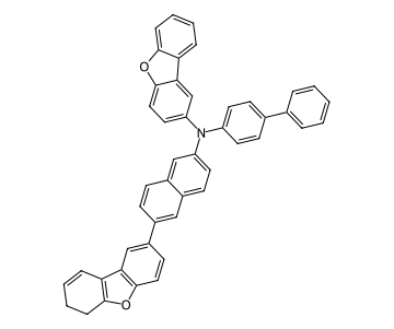 C1=Cc2c(oc3ccc(-c4ccc5cc(N(c6ccc(-c7ccccc7)cc6)c6ccc7oc8ccccc8c7c6)ccc5c4)cc23)CC1